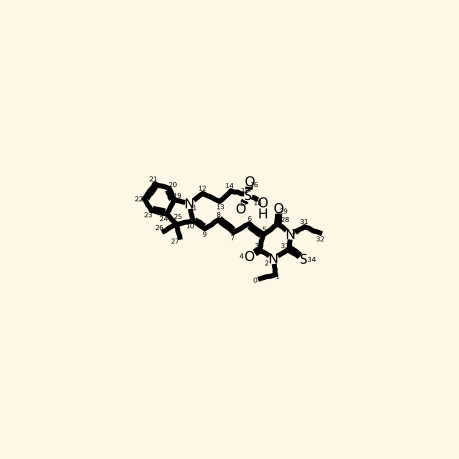 CCN1C(=O)C(=CC=CC=C2N(CCCS(=O)(=O)O)c3ccccc3C2(C)C)C(=O)N(CC)C1=S